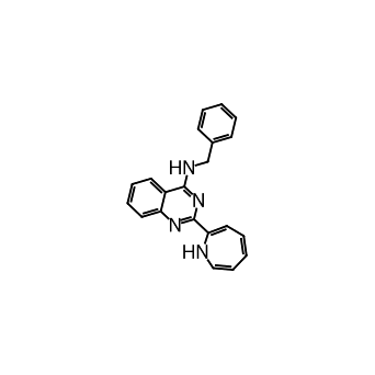 C1=CC=C(c2nc(NCc3ccccc3)c3ccccc3n2)NC=C1